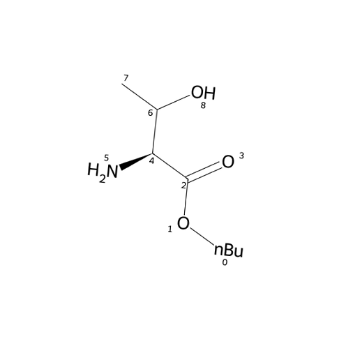 CCCCOC(=O)[C@@H](N)C(C)O